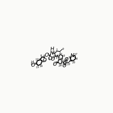 CCCC(NC(=O)Oc1cc2cc(OC)ccc2o1)C(=O)N1CCC2C1C(=O)CN2S(=O)(=O)Cc1cccnc1